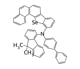 CC1(C)c2ccccc2-c2c(N(c3ccc(-c4ccccc4)cc3)c3cccc4c3[se]c3c4ccc4ccc5ccccc5c43)cccc21